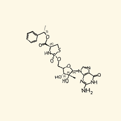 C[C@H](OC(=O)[C@H]1CSP(=O)(OCC2O[C@@H](n3cnc4c(=O)[nH]c(N)nc43)[C@](C)(O)[C@@H]2O)N1)c1ccccc1